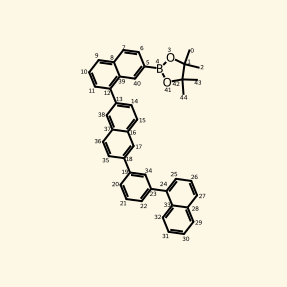 CC1(C)OB(c2ccc3cccc(-c4ccc5cc(-c6cccc(-c7cccc8ccccc78)c6)ccc5c4)c3c2)OC1(C)C